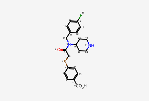 O=C(O)c1ccc(SCC(=O)N(Cc2ccc(F)cc2)C2CCNCC2)cc1